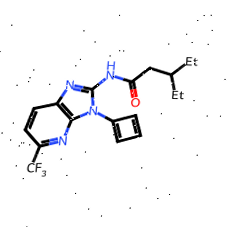 CCC(CC)CC(=O)Nc1nc2ccc(C(F)(F)F)nc2n1C1=CC=C1